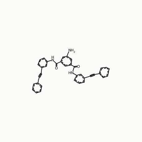 Nc1cc(C(=O)Nc2cccc(C#Cc3ccccc3)c2)cc(C(=O)Nc2cccc(C#Cc3ccccc3)c2)c1